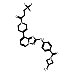 NC1CN(C(=O)c2ccc(Nc3nc4c(C5=CCN(C(=O)CCC(F)(F)F)CC5)cccn4n3)cc2)C1